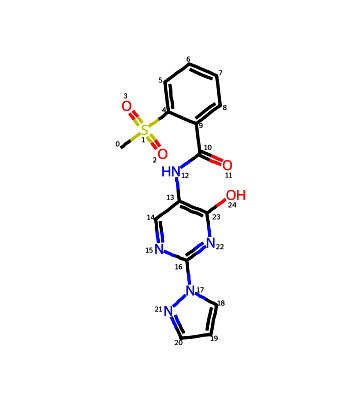 CS(=O)(=O)c1ccccc1C(=O)Nc1cnc(-n2cccn2)nc1O